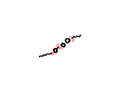 CCCCCCCCOc1ccc(C(=O)Oc2ccc([C@H]3CC[C@H](OC(=O)[C@@H](F)CCCC)CC3)cc2)cc1